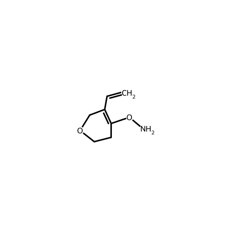 C=CC1=C(ON)CCOC1